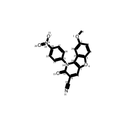 COc1ccc2oc3cc(C#N)c(=O)n(-c4ccc([N+](=O)[O-])cc4)c3c2c1